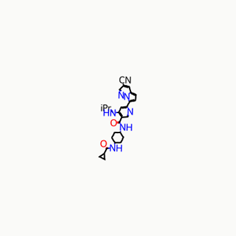 CC(C)Nc1cc(-c2ccc3cc(C#N)cnn23)ncc1C(=O)N[C@H]1CC[C@H](NC(=O)C2CC2)CC1